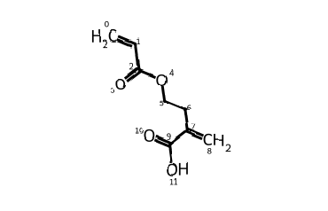 C=CC(=O)OCCC(=C)C(=O)O